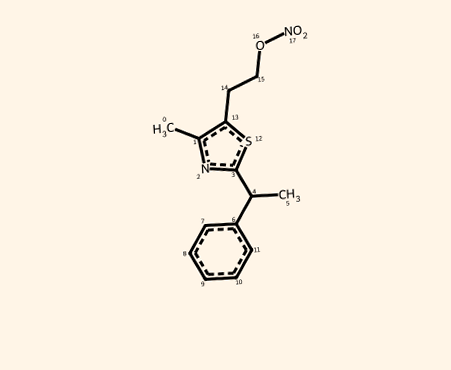 Cc1nc(C(C)c2ccccc2)sc1CCO[N+](=O)[O-]